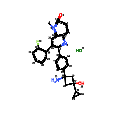 Cl.Cn1c(=O)ccc2nc(-c3ccc(C4(N)CC(O)(C5CC5)C4)cc3)c(-c3ccccc3F)cc21